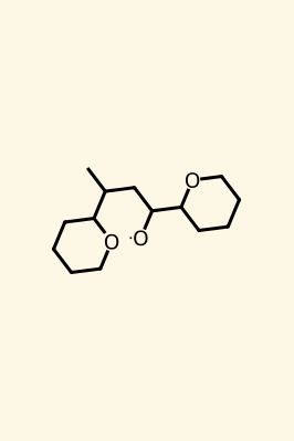 CC(CC([O])C1CCCCO1)C1CCCCO1